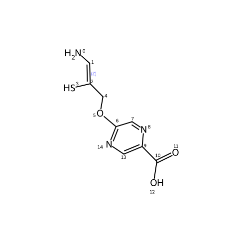 N/C=C(\S)COc1cnc(C(=O)O)cn1